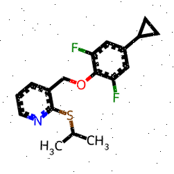 CC(C)Sc1ncccc1COc1c(F)cc(C2CC2)cc1F